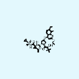 C=CC1C[C@]1(NC(=O)[C@@H]1C[C@@H](Oc2cc(OCC)nc3c(C)c(CC)ccc23)CN1C(=O)[C@@H](O)C(C)(C)C)C(=O)NS(=O)(=O)C1CC1